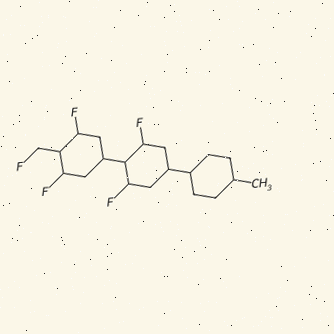 CC1CCC(C2CC(F)C(C3CC(F)C(CF)C(F)C3)C(F)C2)CC1